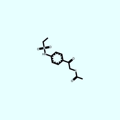 CCS(=O)(=O)Nc1ccc(C(=O)CSC(C)=O)cc1